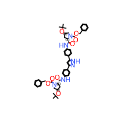 CC(C)(C)O[C@@H]1C[C@@H](C(=O)Nc2ccc(-c3cc(-c4ccc(NC(=O)[C@@H]5C[C@@H](OC(C)(C)C)CN5C(=O)OCc5ccccc5)cc4)[nH]n3)cc2)N(C(=O)OCc2ccccc2)C1